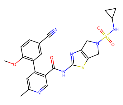 COc1ccc(C#N)cc1-c1cc(C)ncc1C(=O)Nc1nc2c(s1)CN(S(=O)(=O)NC1CC1)C2